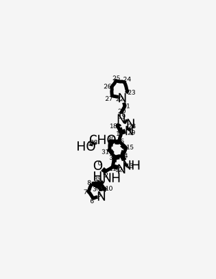 O=C(N[C@H]1CN2CCC1CC2)c1n[nH]c2cc(-c3cn(CCN4CCCCC4)nn3)ccc12.O=CO